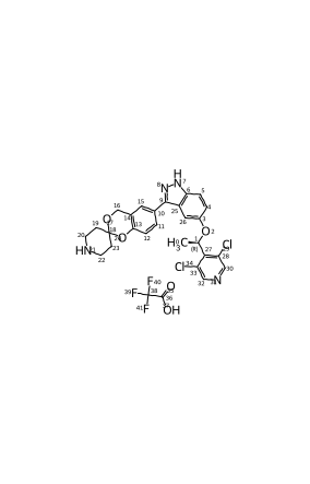 C[C@@H](Oc1ccc2[nH]nc(-c3ccc4c(c3)COC3(CCNCC3)O4)c2c1)c1c(Cl)cncc1Cl.O=C(O)C(F)(F)F